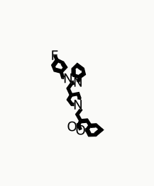 O=c1oc2ccccc2cc1CCN1CCC(Cc2nc3ccccc3n2Cc2ccc(F)cc2)CC1